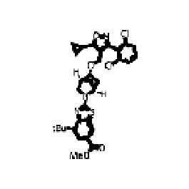 COC(=O)c1cc(C(C)(C)C)c2nc(N3C[C@@H]4C[C@H]3C[C@H]4OCc3c(-c4c(Cl)cccc4Cl)noc3C3CC3)sc2c1